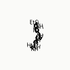 CCc1cc2ncc(CN3CCN(c4ccc(C(=N)NC(C)=N)nc4)[C@@H]4CC[C@@H]43)cc2[nH]c1=O